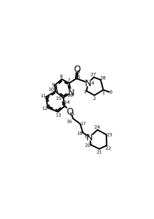 CC1CCN(C(=O)c2ccc3cccc(OCCCN4CCCCC4)c3n2)CC1